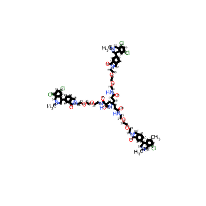 Cc1cc(Cl)c2c(c1)C(c1ccc3c(c1)C(=O)N(CCOCCOCCNC(=O)CCC(CCC(=O)NCCOCCOCCN1Cc4ccc(C5CN(C)Cc6c(Cl)cc(Cl)cc65)cc4C1=O)(CCC(=O)NCCOCCOCCN1Cc4ccc(C5CN(C)Cc6c(Cl)cc(Cl)cc65)cc4C1=O)N=C=O)C3)CN(C)C2